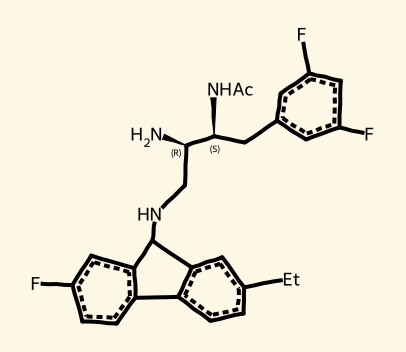 CCc1ccc2c(c1)C(NC[C@@H](N)[C@H](Cc1cc(F)cc(F)c1)NC(C)=O)c1cc(F)ccc1-2